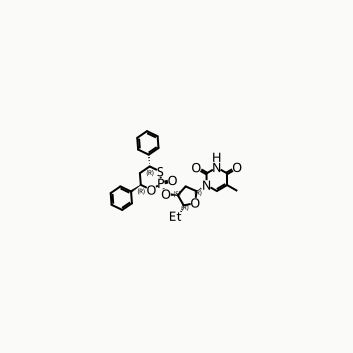 CC[C@H]1O[C@@H](n2cc(C)c(=O)[nH]c2=O)C[C@@H]1OP1(=O)O[C@@H](c2ccccc2)C[C@H](c2ccccc2)S1